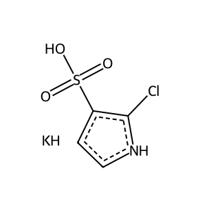 O=S(=O)(O)c1cc[nH]c1Cl.[KH]